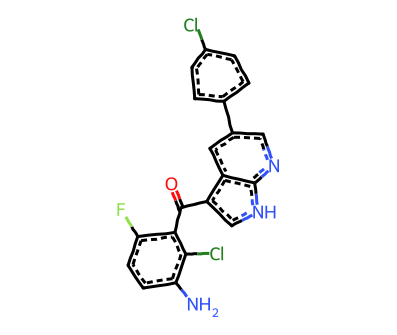 Nc1ccc(F)c(C(=O)c2c[nH]c3ncc(-c4ccc(Cl)cc4)cc23)c1Cl